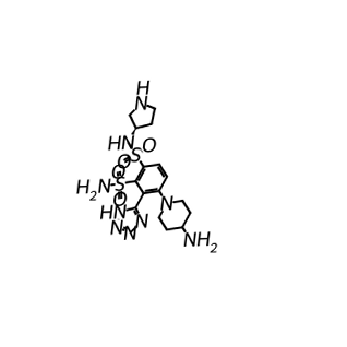 NC1CCN(c2ccc(S(=O)(=O)N[C@@H]3CCNC3)c(S(N)(=O)=O)c2-c2nnn[nH]2)CC1